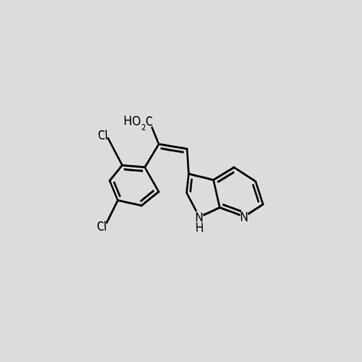 O=C(O)C(=Cc1c[nH]c2ncccc12)c1ccc(Cl)cc1Cl